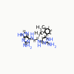 Cc1cccc(C2=CC(NCCNc3nc(N)nc4[nH]cnc34)=NC(N)N2)c1C